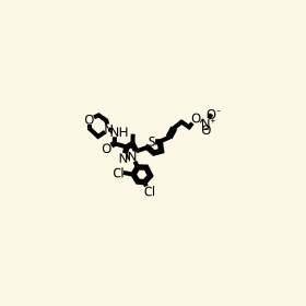 Cc1c(C(=O)NN2CCOCC2)nn(-c2ccc(Cl)cc2Cl)c1-c1ccc(C#CCCO[N+](=O)[O-])s1